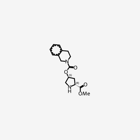 COC(=O)[C@H]1C[C@H](OC(=O)N2CCc3ccccc3C2)CN1